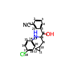 N#Cc1cccc(C(O)C(CC2CC2)Nc2ccc(Cl)cc2)c1